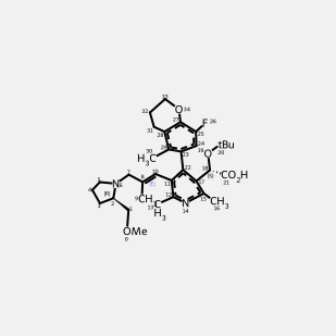 COC[C@H]1CCCN1C/C(C)=C/c1c(C)nc(C)c([C@H](OC(C)(C)C)C(=O)O)c1-c1cc(F)c2c(c1C)CCCO2